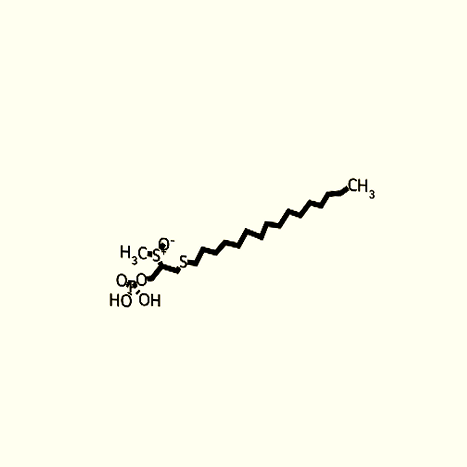 CCCCCCCCCCCCCCCCSCC(COP(=O)(O)O)[S+](C)[O-]